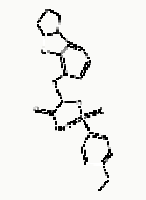 CCc1ccc(S(=O)(=O)OC(Oc2cccc3c2OC2CCCC32)C(=O)O)cc1